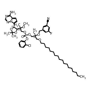 CCCCCCCCCCCCCCCCCCOC[C@](C)(COP(=O)(OC[C@@](C)(OC)[C@H]1OC(C)(C)O[C@H]1c1ccc2c(N)ncnn12)Oc1ccccc1Cl)OCc1cc(F)cc(C#N)c1